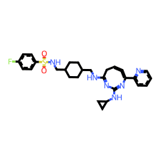 O=S(=O)(NCC1CCC(CN/C2=N/C(NC3CC3)=N\C(c3ccccn3)=C=CC2)CC1)c1ccc(F)cc1